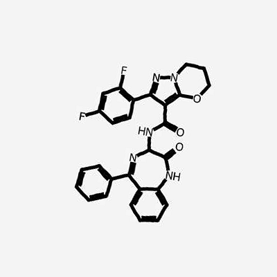 O=C(NC1N=C(c2ccccc2)c2ccccc2NC1=O)c1c(-c2ccc(F)cc2F)nn2c1OCCC2